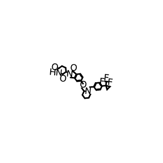 O=C1CCC(N2Cc3cc(OCC4CCCCN4Cc4ccc(C5(C(F)(F)F)CC5)cc4)ccc3C2=O)C(=O)N1